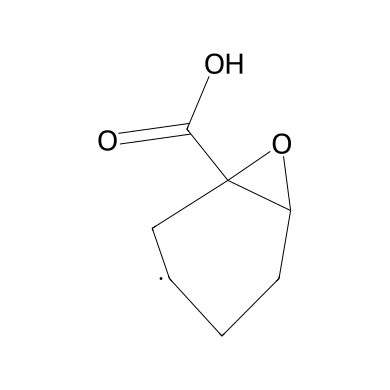 O=C(O)C12C[CH]CCC1O2